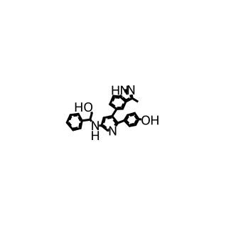 Cc1n[nH]c2ccc(-c3cc(NC(CO)c4ccccc4)cnc3-c3ccc(O)cc3)cc12